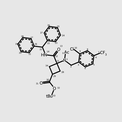 CC(=O)N(Cc1ccc(C(F)(F)F)cc1Cl)C1(C(=O)NC(c2ccccc2)c2ccccc2)CC(C(=O)OC(C)(C)C)C1